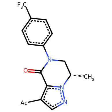 CC(=O)c1cnn2c1C(=O)N(c1ccc(C(F)(F)F)cc1)C[C@@H]2C